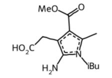 CCC(C)n1c(C)c(C(=O)OC)c(CC(=O)O)c1N